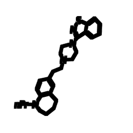 CCCN1CCCCc2cc(CCN3CCN(c4nsc5ccccc45)CC3)ccc21